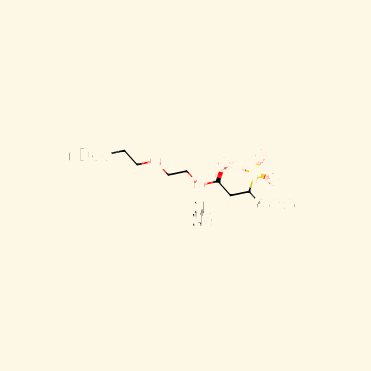 CCCCCCCCCCCCOCCOC(=O)CC(C(=O)[O-])S(=O)(=O)[O-].[Na+].[Na+]